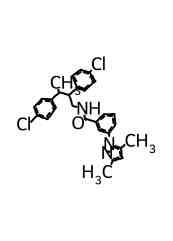 Cc1cc(C)n(-c2cccc(C(=O)NCC(c3ccc(Cl)cc3)C(C)c3ccc(Cl)cc3)c2)n1